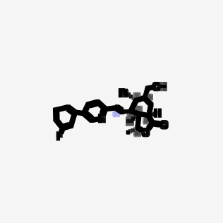 CC[C@@H]1[C@@H](CO)C[C@H]2C(=O)O[C@H](C)[C@H]2[C@H]1/C=C/c1ccc(-c2cccc(F)c2)cn1